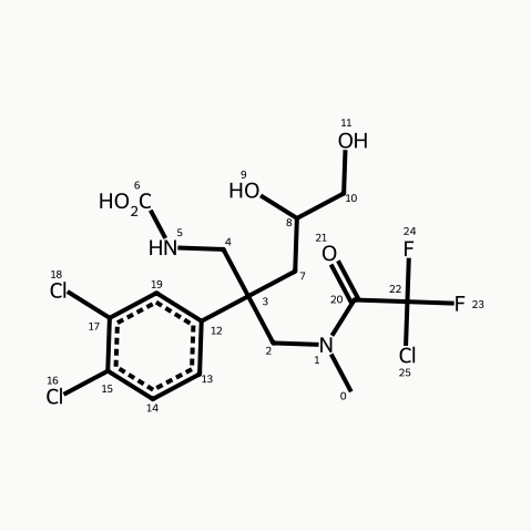 CN(CC(CNC(=O)O)(CC(O)CO)c1ccc(Cl)c(Cl)c1)C(=O)C(F)(F)Cl